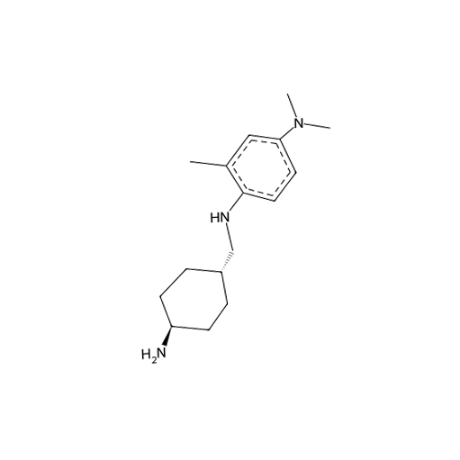 Cc1cc(N(C)C)ccc1NC[C@H]1CC[C@H](N)CC1